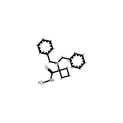 NNC(=O)C1(N(Cc2ccccc2)Cc2ccccc2)CCC1